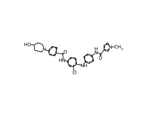 Cn1ccc(C(=O)Nc2ccc(Nc3ccc(NC(=O)c4ccc(N5CCC(O)CC5)cc4)cc3Cl)cc2)c1